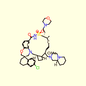 CO[C@@]1(CN2CCN3CCCC[C@@H]3C2)/C=C/C[C@H](C)[C@@H](CCN2CCOCC2)S(=O)(=O)NC(=O)c2ccc3c(c2)N(C[C@@H]2CC[C@H]21)C[C@@]1(CCCc2cc(Cl)ccc21)CO3